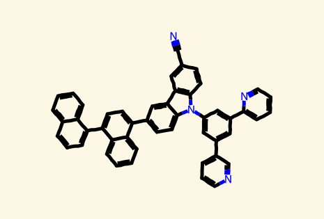 N#Cc1ccc2c(c1)c1cc(-c3ccc(-c4cccc5ccccc45)c4ccccc34)ccc1n2-c1cc(-c2cccnc2)cc(-c2ccccn2)c1